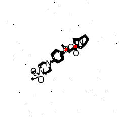 CC(C)(C)OC(=O)N1C2CCC1CC(COc1ccc(N3CCN(S(C)(=O)=O)CC3)cc1)C2